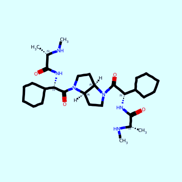 CN[C@@H](C)C(=O)N[C@H](C(=O)N1CC[C@@H]2[C@H]1CCN2C(=O)[C@@H](NC(=O)[C@H](C)NC)C1CCCCC1)C1CCCCC1